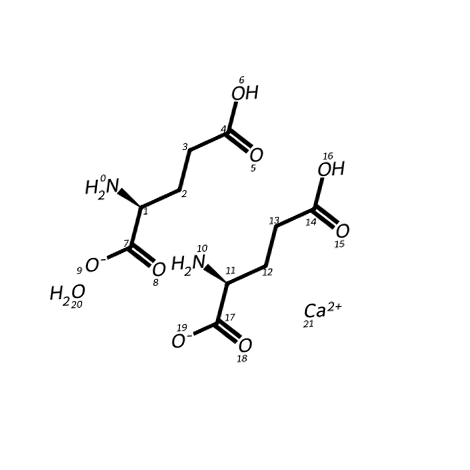 N[C@@H](CCC(=O)O)C(=O)[O-].N[C@@H](CCC(=O)O)C(=O)[O-].O.[Ca+2]